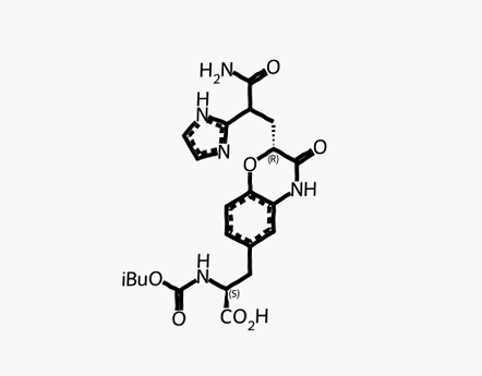 CC(C)COC(=O)N[C@@H](Cc1ccc2c(c1)NC(=O)[C@@H](CC(C(N)=O)c1ncc[nH]1)O2)C(=O)O